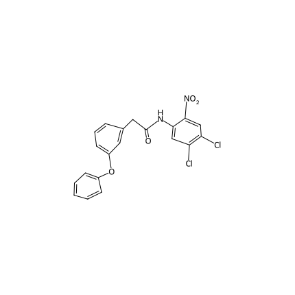 O=C(Cc1cccc(Oc2ccccc2)c1)Nc1cc(Cl)c(Cl)cc1[N+](=O)[O-]